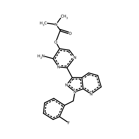 CN(C)C(=O)Oc1cnc(-c2nn(Cc3ccccc3F)c3ncccc23)nc1N